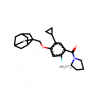 O=C(O)[C@H]1CCCN1C(=O)c1cc(C2CC2)c(OCC23CC4CC(CC2C4)C3)cc1F